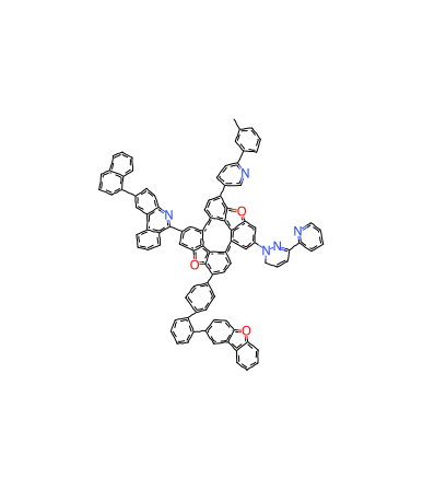 Cc1cccc(-c2ccc(-c3ccc4c5cc(-c6nc7ccc(-c8cccc9ccccc89)cc7c7ccccc67)cc6oc7c(-c8ccc(-c9ccccc9-c9ccc%10oc%11ccccc%11c%10c9)cc8)ccc(c8cc(N9CC=CC(c%10ccccn%10)=N9)cc9oc3c4c98)c7c65)cn2)c1